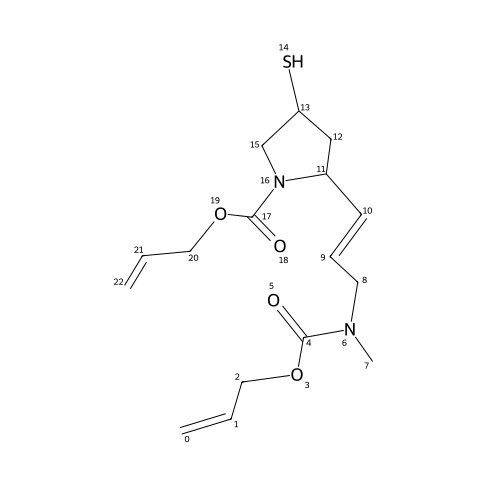 C=CCOC(=O)N(C)CC=CC1CC(S)CN1C(=O)OCC=C